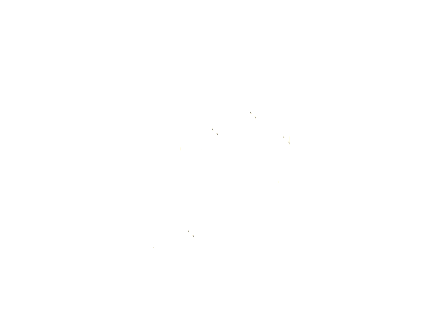 Cc1nc(Cl)c2cc(-c3ccc(Cl)nc3)c(=O)n(C3CCCC3)c2n1